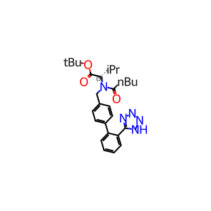 CCCCC(=O)N(Cc1ccc(-c2ccccc2-c2nnn[nH]2)cc1)[C@H](C(=O)OC(C)(C)C)C(C)C